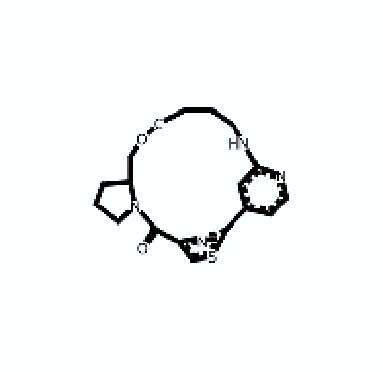 O=C1c2csc(n2)-c2ccnc(c2)NCCCCOCC2CCCN12